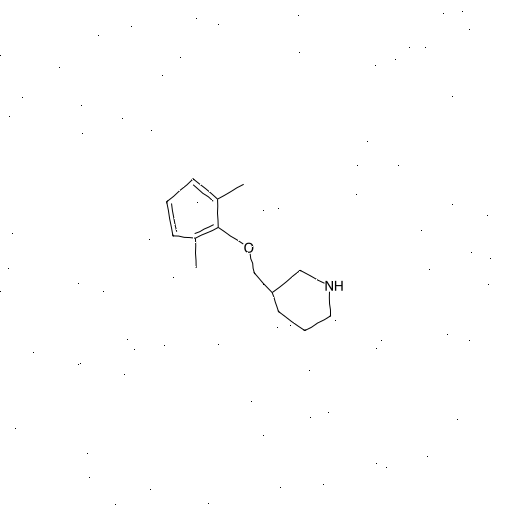 Cc1cccc(C)c1OCC1CCCNC1